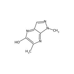 Cc1nc2c(cnn2C)nc1O